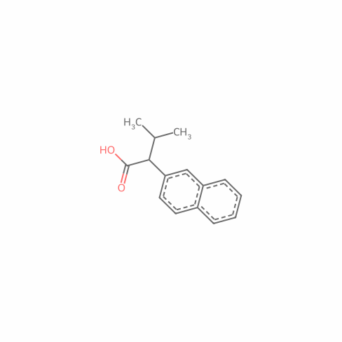 CC(C)C(C(=O)O)c1ccc2ccccc2c1